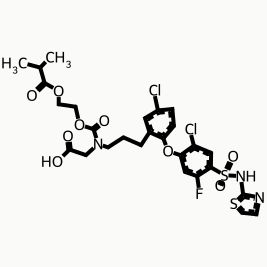 CC(C)C(=O)OCCOC(=O)N(CCCc1cc(Cl)ccc1Oc1cc(F)c(S(=O)(=O)Nc2nccs2)cc1Cl)CC(=O)O